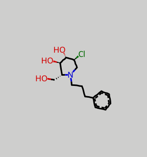 OC[C@@H]1[C@@H](O)[C@H](O)[C@@H](Cl)CN1CCCc1ccccc1